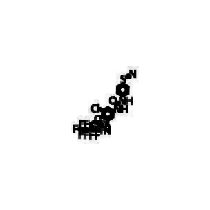 N#CSc1ccc(NC(=O)Nc2cc(Cl)c(OS(=O)(=O)C(F)(F)C(F)(F)C(F)(F)C(F)(F)F)c(C#N)c2)cc1